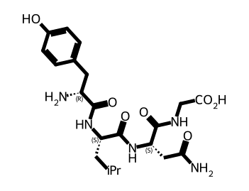 CC(C)C[C@H](NC(=O)[C@H](N)Cc1ccc(O)cc1)C(=O)N[C@@H](CC(N)=O)C(=O)NCC(=O)O